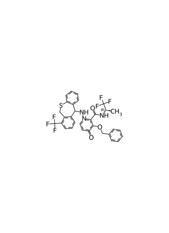 C[C@@H](NC(=O)c1c(OCc2ccccc2)c(=O)ccn1NC1c2ccccc2SCc2c1cccc2C(F)(F)F)C(F)(F)F